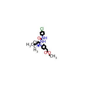 CCOC(=O)Cc1ccc(-n2nc(C(C)(C)C)cc2NC(=O)Nc2ccc(Cl)cc2)cc1